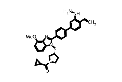 C=Cc1ccc(-c2ccc(-c3nc4c(OC)cccc4n3C[C@@H]3CCN(C(=O)C4CC4)C3)cc2)cc1NN